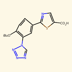 CC(C)COc1ccc(-c2ncc(C(=O)O)s2)cc1-n1cnnn1